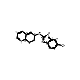 Clc1ccc2sc(SC3C=C4C=CC=NC4CC3)nc2c1